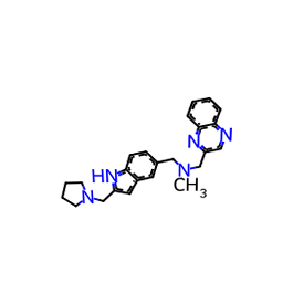 CN(Cc1ccc2[nH]c(CN3CCCC3)cc2c1)Cc1cnc2ccccc2n1